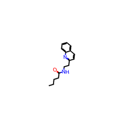 CCCCC(=O)NCCc1ccc2ccccc2n1